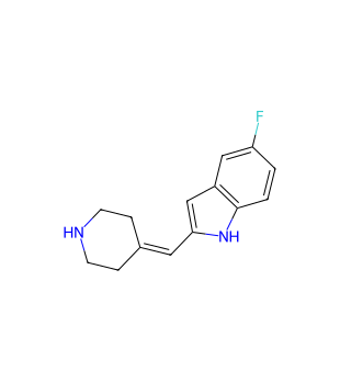 Fc1ccc2[nH]c(C=C3CCNCC3)cc2c1